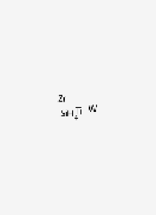 [SiH4].[Ti].[W].[Zr]